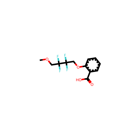 COCC(F)(F)C(F)(F)COc1ccccc1C(=O)O